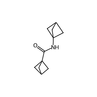 O=C(NC12CC(C1)C2)C12CC(C1)C2